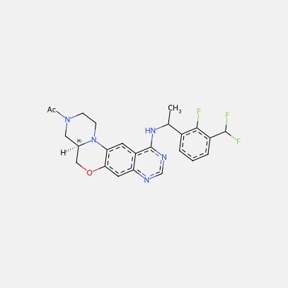 CC(=O)N1CCN2c3cc4c(NC(C)c5cccc(C(F)F)c5F)ncnc4cc3OC[C@H]2C1